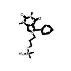 Cn1c(=O)c2c(-c3ccccc3)n(C[CH]CO[Si](C)(C)C(C)(C)C)cc2n(C)c1=O